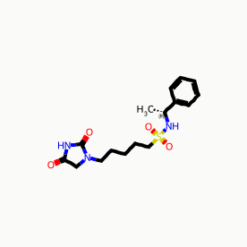 C[C@@H](NS(=O)(=O)CCCCCN1CC(=O)NC1=O)c1ccccc1